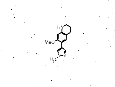 COc1cc2c(cc1-c1cnn(C)c1)CCCN2